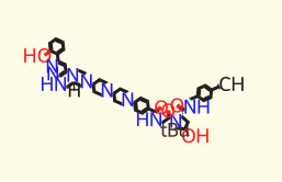 C#Cc1ccc(CNC(=O)[C@@H]2C[C@@H](O)CN2C(=O)[C@@H](NC(=O)c2ccc(N3CCC(N4CCC(N5CCN6c7cc(-c8ccccc8O)nnc7NC[C@H]6C5)CC4)CC3)cc2)C(C)(C)C)cc1